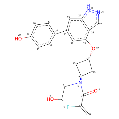 C=C(F)C(=O)N(CCO)[C@H]1C[C@H](Oc2cc(-c3ccc(O)cc3)cc3[nH]ncc23)C1